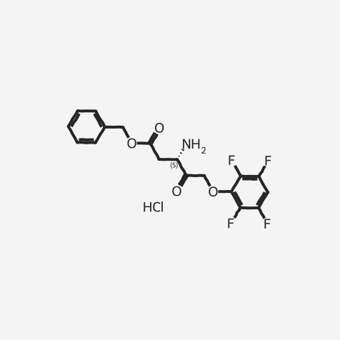 Cl.N[C@@H](CC(=O)OCc1ccccc1)C(=O)COc1c(F)c(F)cc(F)c1F